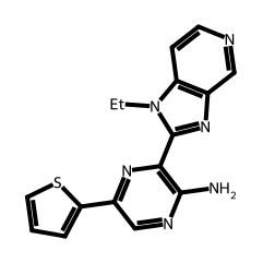 CCn1c(-c2nc(-c3cccs3)cnc2N)nc2cnccc21